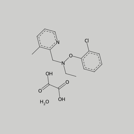 CCN(Cc1ncccc1C)Oc1ccccc1Cl.O.O=C(O)C(=O)O